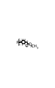 CCOC(=O)CC1CCC(C(F)(F)F)CC1